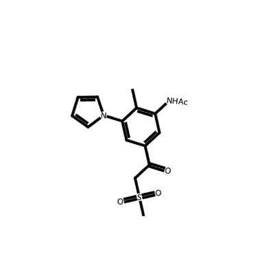 CC(=O)Nc1cc(C(=O)CS(C)(=O)=O)cc(-n2cccc2)c1C